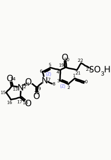 C=C/C=C\C(/C=C\N(C)C(=O)ON1C(=O)CCC1=O)C(=O)CCS(=O)(=O)O